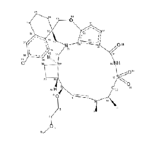 COCCO[C@@H]1/C=C/[C@H](C)[C@H](C)CS(=O)(=O)NC(=O)c2ccc3c(c2)N(C[C@@H]2CC[C@H]21)C[C@@]1(CCCc2cc(Cl)ccc21)CO3